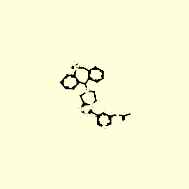 CC(=O)Nc1cncc(-c2nnc3n2CCN(C2c4ccccc4CS(=O)(=O)c4ccccc42)C3)c1